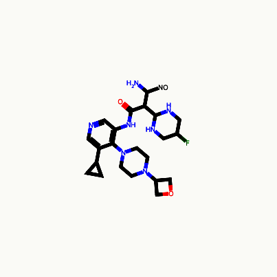 NC(N=O)C(C(=O)Nc1cncc(C2CC2)c1N1CCN(C2COC2)CC1)C1NCC(F)CN1